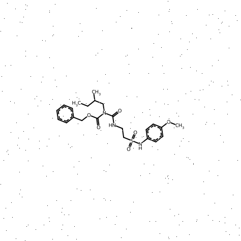 CCC(C)CN(C(=O)NCCS(=O)(=O)Nc1ccc(OC)cc1)C(=O)OCc1ccccc1